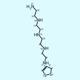 C1=CSSC1.NCCNCCNCCNCCN